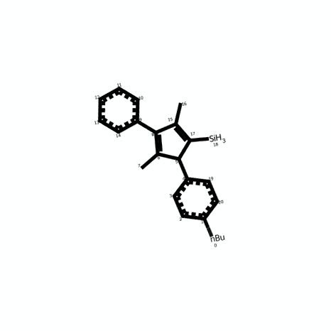 CCCCc1ccc(C2C(C)=C(c3ccccc3)C(C)=C2[SiH3])cc1